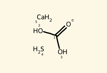 O=C(O)O.S.[CaH2]